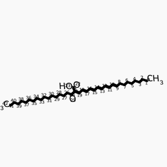 CCCCCCCCCC=CC=CC=CC=CC=CC=C(C(=O)O)C(=O)CCCCCCCCCCCCCCCCC